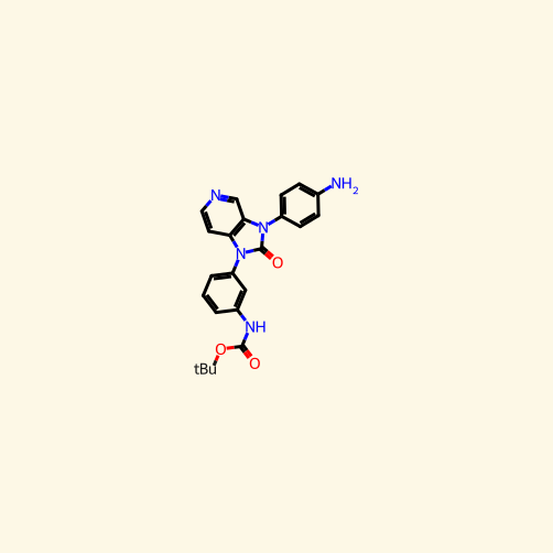 CC(C)(C)OC(=O)Nc1cccc(-n2c(=O)n(-c3ccc(N)cc3)c3cnccc32)c1